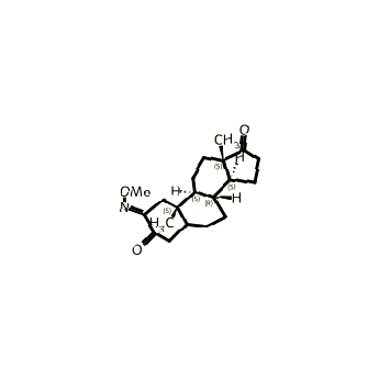 CON=C1C[C@@]2(C)C(CC[C@@H]3[C@@H]2CC[C@]2(C)C(=O)CC[C@@H]32)CC1=O